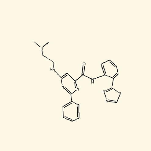 CN(C)CCNc1cc(C(=O)Nc2ccccc2-c2nncs2)nc(-c2ccccc2)n1